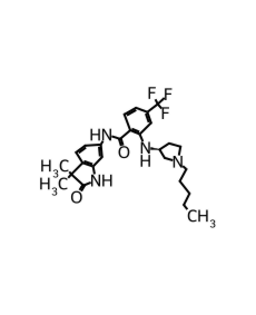 CCCCCN1CC[C@H](Nc2cc(C(F)(F)F)ccc2C(=O)Nc2ccc3c(c2)NC(=O)C3(C)C)C1